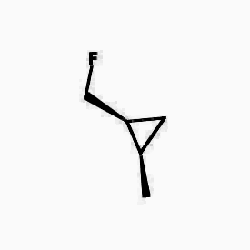 C[C@@H]1C[C@@H]1CF